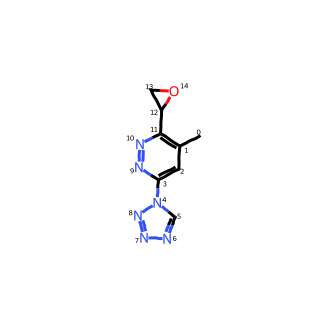 Cc1cc(-n2cnnn2)nnc1C1CO1